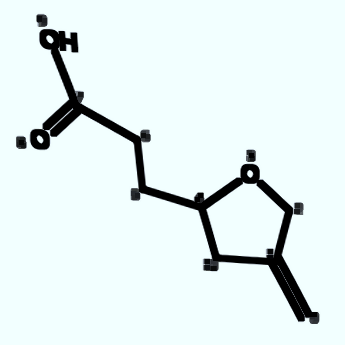 C=C1COC(CCC(=O)O)C1